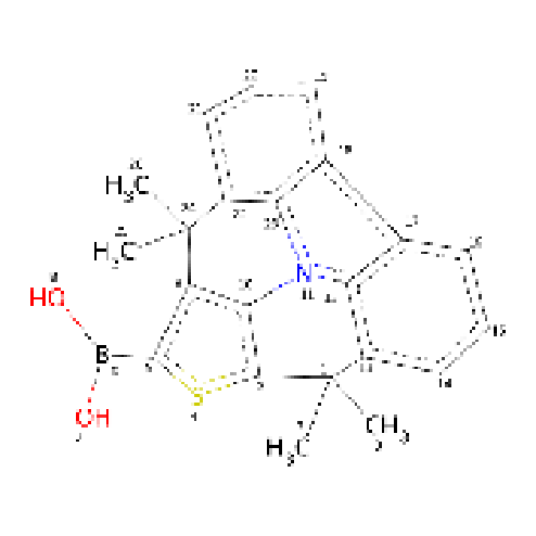 CC1(C)c2sc(B(O)O)c3c2-n2c4c1cccc4c1cccc(c12)C3(C)C